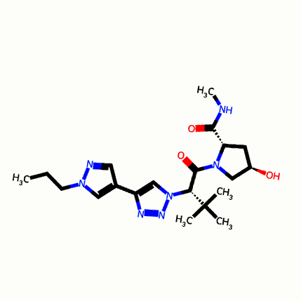 CCCn1cc(-c2cn([C@H](C(=O)N3C[C@H](O)C[C@H]3C(=O)NC)C(C)(C)C)nn2)cn1